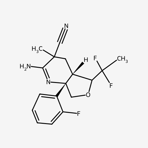 CC1(C#N)C[C@@H]2C(C(C)(F)F)OC[C@]2(c2ccccc2F)N=C1N